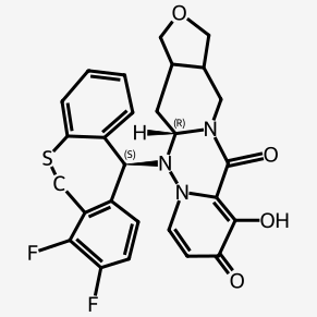 O=C1c2c(O)c(=O)ccn2N([C@@H]2c3ccccc3SCc3c2ccc(F)c3F)[C@@H]2CC3COCC3CN12